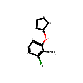 O=[N+]([O-])c1c(F)cccc1OC1CCCC1